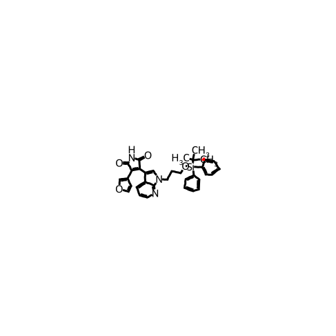 CC(C)(C)[Si](OCCCn1cc(C2=C(c3ccoc3)C(=O)NC2=O)c2cccnc21)(c1ccccc1)c1ccccc1